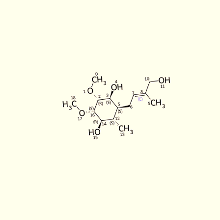 CO[C@@H]1[C@@H](O)[C@@H](C/C=C(\C)CO)[C@H](C)[C@@H](O)[C@@H]1OC